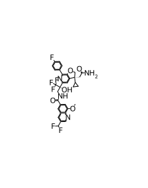 COc1cc(C(=O)NC[C@](O)(c2cc3c(c(-c4ccc(F)cc4)n2)OC[C@@]3(CC(N)=O)C2CC2)C(F)(F)F)cc2cc(C(F)F)cnc12